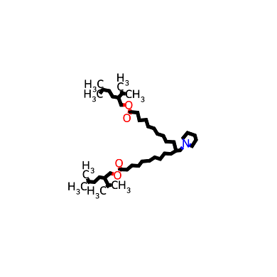 CC(C)CCC(COC(=O)CCCCCCCCCC(CCCCCCCCCC(=O)OCC(CCC(C)C)C(C)C)CN1CCCCC1)C(C)C